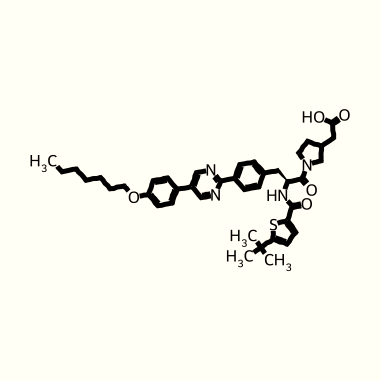 CCCCCCCOc1ccc(-c2cnc(-c3ccc(C[C@H](NC(=O)c4ccc(C(C)(C)C)s4)C(=O)N4CCC(CC(=O)O)C4)cc3)nc2)cc1